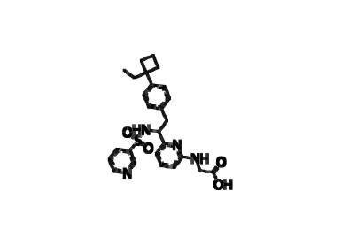 CCC1(c2ccc(CC(NS(=O)(=O)c3cccnc3)c3cccc(NCC(=O)O)n3)cc2)CCC1